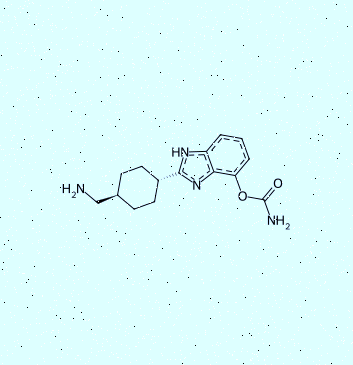 NC[C@H]1CC[C@H](c2nc3c(OC(N)=O)cccc3[nH]2)CC1